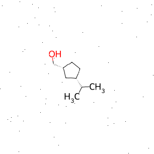 CC(C)[C@H]1CC[C@@H](CO)C1